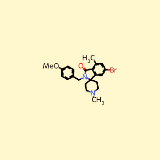 COc1ccc(CN2C(=O)c3c(C)cc(Br)cc3C23CCN(C)CC3)cc1